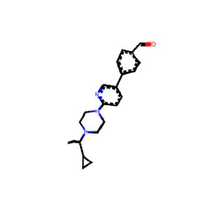 CC(C1CC1)N1CCN(c2ccc(-c3ccc(C=O)cc3)cn2)CC1